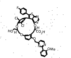 COc1ccccc1-c1nccc(COc2ccc3cc2C[C@H](C(=O)O)Oc2ncnc4sc(-c5ccc(F)cc5)c(c24)-c2cc(Cl)c(c(Cl)c2)O[C@H](CO)CO3)n1